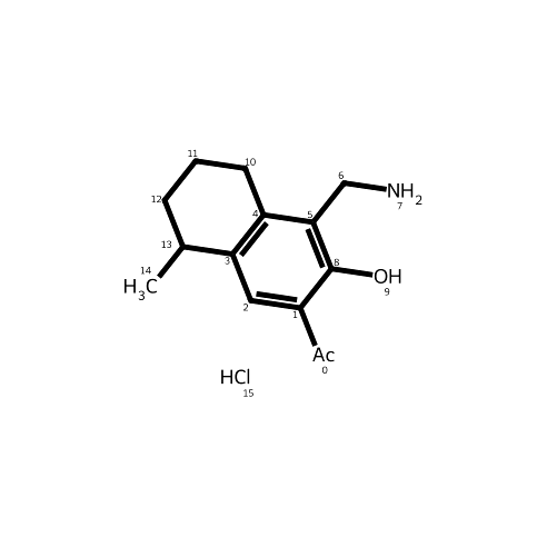 CC(=O)c1cc2c(c(CN)c1O)CCCC2C.Cl